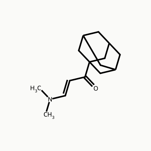 CN(C)C=CC(=O)C12CC3CC(CC(C3)C1)C2